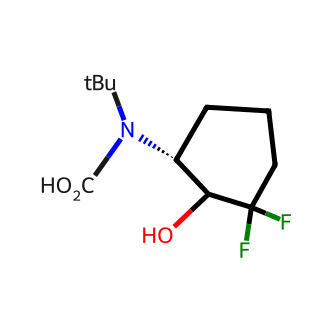 CC(C)(C)N(C(=O)O)[C@@H]1CCCC(F)(F)C1O